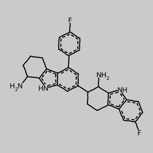 NC1CCCc2c1[nH]c1cc(C3CCc4c([nH]c5ccc(F)cc45)C3N)cc(-c3ccc(F)cc3)c21